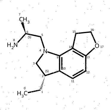 CC[C@@H]1CN(C[C@H](C)N)c2c1ccc1c2CCO1